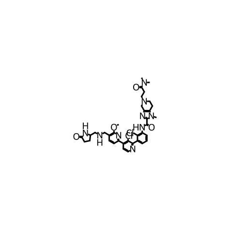 COc1nc(-c2ccnc(-c3cccc(NC(=O)c4nc5c(n4C)CCN(CCC(=O)N(C)C)C5)c3Cl)c2Cl)ccc1CNCC1CCC(=O)N1